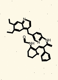 C=C1CCCC(NC=O)=C1/C=C(/C(=C)Nc1ccc(Cc2ccnc3cc(CC)c(CC)cc23)cn1)c1ccccc1